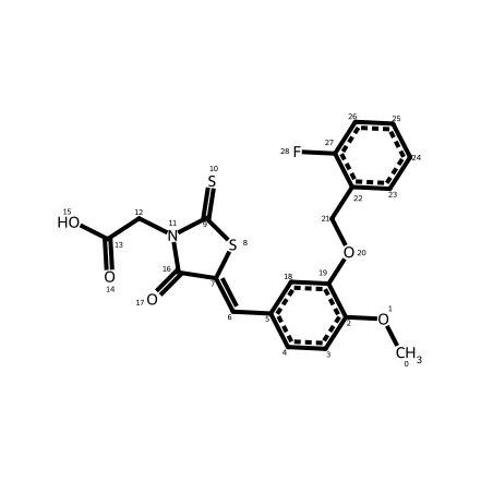 COc1ccc(/C=C2\SC(=S)N(CC(=O)O)C2=O)cc1OCc1ccccc1F